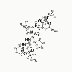 C#CCCC(NC(=O)[C@@H]1C2C(CN1C(=O)[C@@H](NC(=O)NC1(CS(=O)(=O)C(C)(C)CC)CCCCC1)C1CCCCC1)C2(C)C)C(=O)C(=O)NC1CC1